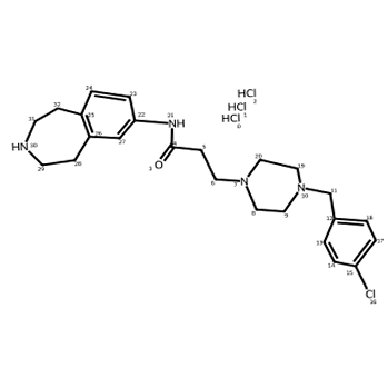 Cl.Cl.Cl.O=C(CCN1CCN(Cc2ccc(Cl)cc2)CC1)Nc1ccc2c(c1)CCNCC2